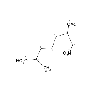 CC(=O)OC(CCCC(C)C(=O)O)C[N+](=O)[O-]